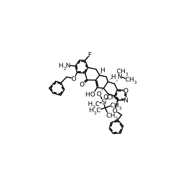 CN(C)[C@@H]1c2onc(OCc3ccccc3)c2C(=O)[C@@]2(O[Si](C)(C)C(C)(C)C)C(O)=C3C(=O)c4c(c(F)cc(N)c4OCc4ccccc4)C[C@H]3C[C@@H]12